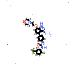 Nc1n[nH]c2c(OCCN3CCOCC3)ccc(-c3ccc(NC(=O)Nc4cc(C(F)(F)F)ccc4F)cc3)c12